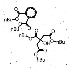 CCCCOC(=O)CC(O)(CC(=O)OCCCC)C(=O)OCCCC.CCCCOC(=O)c1ccccc1C(=O)OCCCC